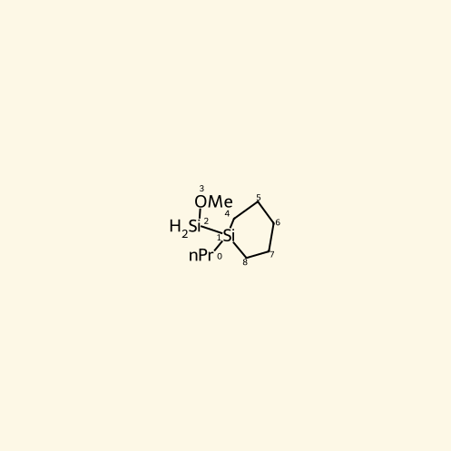 CCC[Si]1([SiH2]OC)CCCCC1